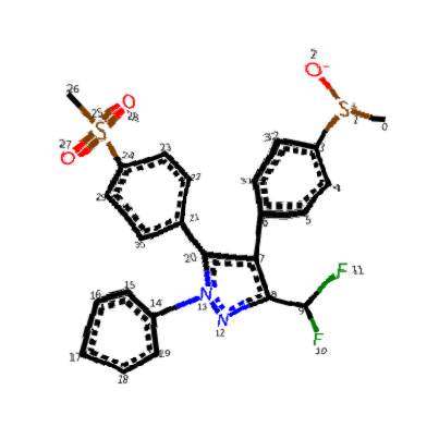 C[S+]([O-])c1ccc(-c2c(C(F)F)nn(-c3ccccc3)c2-c2ccc(S(C)(=O)=O)cc2)cc1